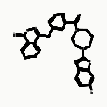 O=C(c1cccc(Cc2n[nH]c(=O)c3ccccc23)c1)N1CCCN(c2nc3ccc(Cl)cc3s2)CC1